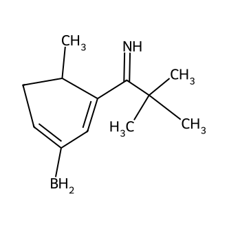 BC1=CCC(C)C(C(=N)C(C)(C)C)=C1